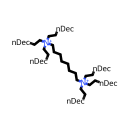 CCCCCCCCCCCC[N+](CCCCCCCCCCCC)(CCCCCCCCCCCC)CCCCCCCC[N+](CCCCCCCCCCCC)(CCCCCCCCCCCC)CCCCCCCCCCCC